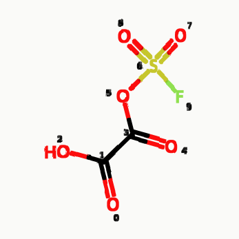 O=C(O)C(=O)OS(=O)(=O)F